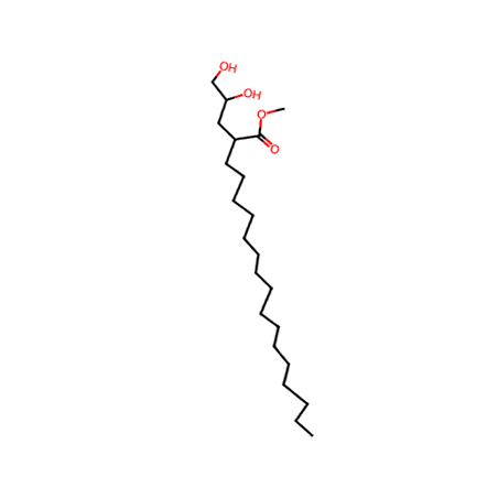 CCCCCCCCCCCCCCCCC(CC(O)CO)C(=O)OC